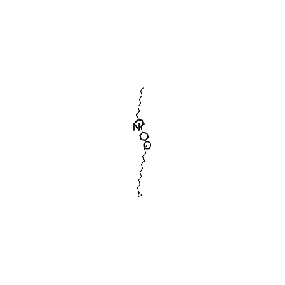 CCCCCCCCc1ccc(-c2ccc(OCCCCCCCCCCCC3CC3)cc2)nc1